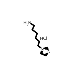 Cl.NCCCCCCn1ccnc1